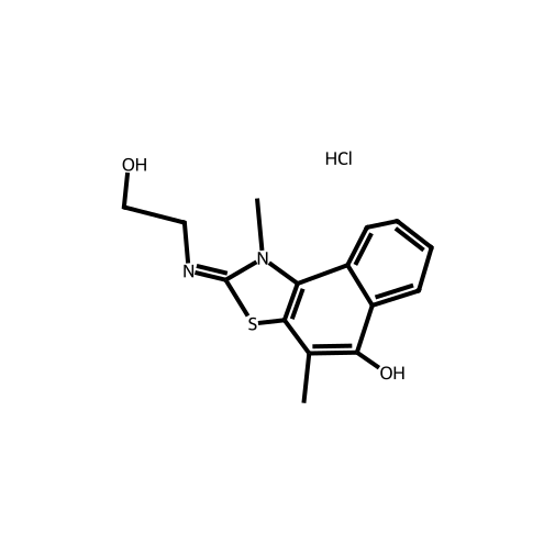 Cc1c(O)c2ccccc2c2c1sc(=NCCO)n2C.Cl